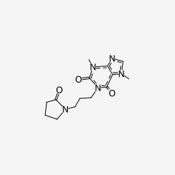 Cn1cnc2c1c(=O)n(CCCN1CCCC1=O)c(=O)n2C